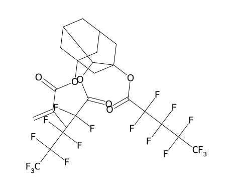 C=C(C)C(=O)OC12CC3CC(C1)C(OC(=O)C(F)(F)C(F)(F)C(F)(F)C(F)(F)F)C(OC(=O)C(F)(F)C(F)(F)C(F)(F)C(F)(F)F)(C3)C2